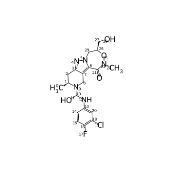 C[C@H]1Cc2nn3c(c2CN1C(O)Nc1ccc(F)c(Cl)c1)C(=O)N(C)O[C@H](CO)C3